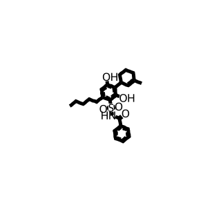 CCCCCc1cc(O)c(C2C=C(C)CCC2)c(O)c1S(=O)(=O)NC(=O)c1ccccc1